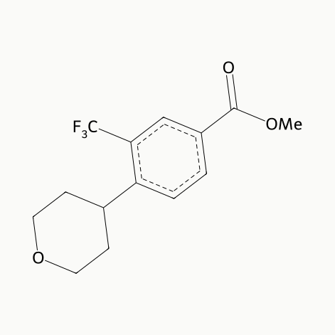 COC(=O)c1ccc(C2CCOCC2)c(C(F)(F)F)c1